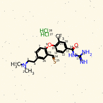 CN(C)CCc1ccc(Oc2ccc(C(=O)NC(=N)N)cc2C(F)(F)F)c(C=S)c1.Cl.Cl